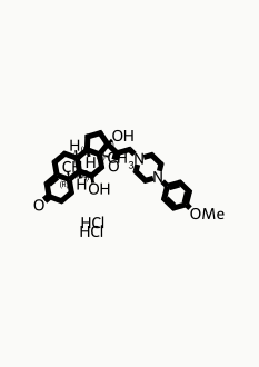 COc1ccc(N2CCN(CC(=O)[C@@]3(O)CC[C@H]4[C@@H]5CCC6=CC(=O)CC[C@]6(C)[C@H]5[C@H](O)C[C@@]43C)CC2)cc1.Cl.Cl